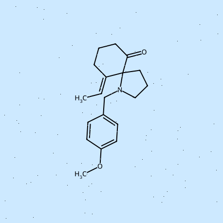 C/C=C1\CCCC(=O)C12CCCN2Cc1ccc(OC)cc1